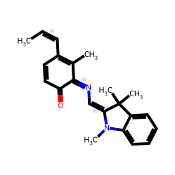 C/C=C\C1=C(C)C(=N/C=C2/N(C)c3ccccc3C2(C)C)/C(=O)C=C1